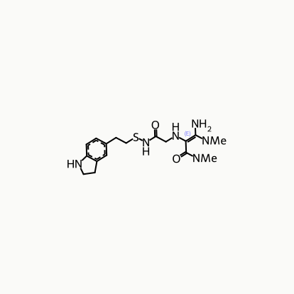 CNC(=O)/C(NCC(=O)NSCCc1ccc2c(c1)CCN2)=C(/N)NC